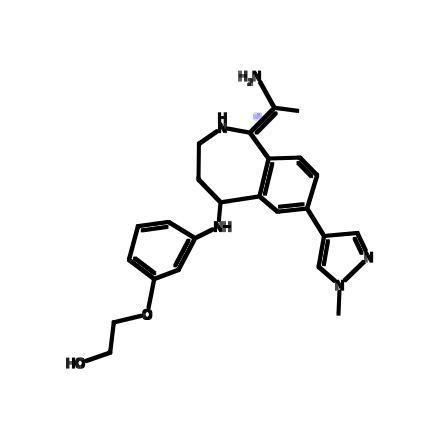 C/C(N)=C1/NCCC(Nc2cccc(OCCO)c2)c2cc(-c3cnn(C)c3)ccc21